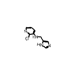 Clc1ncccc1NCc1cnc[nH]1